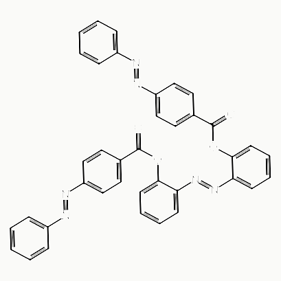 O=C(Oc1ccccc1/N=N/c1ccccc1OC(=O)c1ccc(/N=N/c2ccccc2)cc1)c1ccc(/N=N/c2ccccc2)cc1